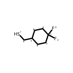 FC1(F)CCC(CS)CC1